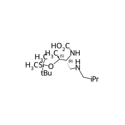 CC(C)CNC[C@@H](NC(=O)O)[C@H](C)O[Si](C)(C)C(C)(C)C